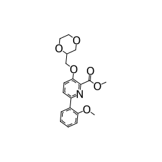 COC(=O)c1nc(-c2ccccc2OC)ccc1OCC1COCCO1